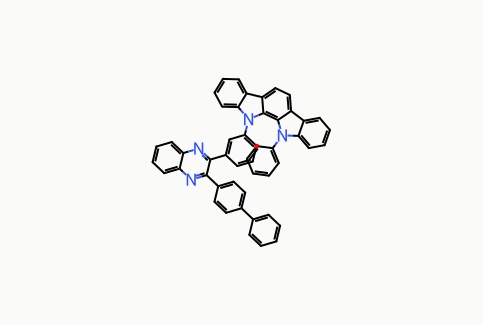 c1ccc(-c2ccc(-c3nc4ccccc4nc3-c3cccc(-n4c5ccccc5c5ccc6c7ccccc7n(-c7ccccc7)c6c54)c3)cc2)cc1